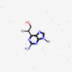 CCC(CO)c1nc(N)nc2c1ncn2C(C)C